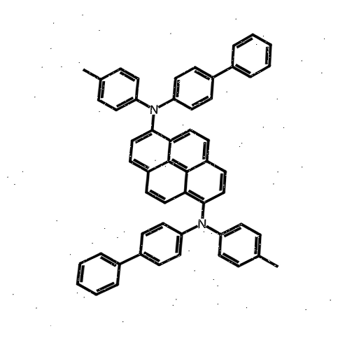 Cc1ccc(N(c2ccc(-c3ccccc3)cc2)c2ccc3ccc4c(N(c5ccc(C)cc5)c5ccc(-c6ccccc6)cc5)ccc5ccc2c3c54)cc1